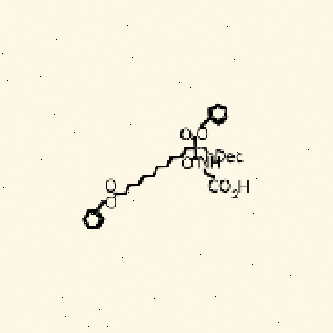 CCCCCCCCCCC[C@@](CCCCCCCCCCC(=O)OCc1ccccc1)(C(=O)NCCC(=O)O)C(=O)OCc1ccccc1